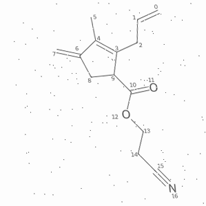 C=CCC1=C(C)C(=C)CC1C(=O)OCCC#N